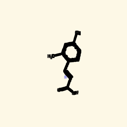 Cc1cc(O)ccc1/C=C/C(=O)O